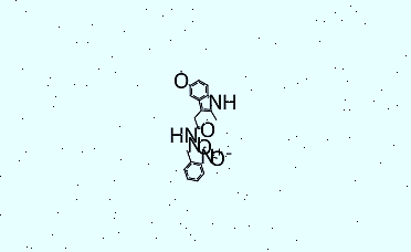 COc1ccc2[nH]c(C)c(CC(=O)NN=Cc3ccccc3[N+](=O)[O-])c2c1